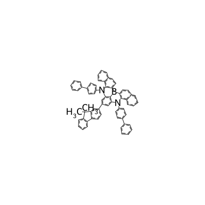 CC1(C)c2ccccc2-c2ccc(-c3cc4c5c(c3)N(c3ccc(-c6ccccc6)cc3)c3c(ccc6ccccc36)B5c3ccc5ccccc5c3N4c3ccc(-c4ccccc4)cc3)cc21